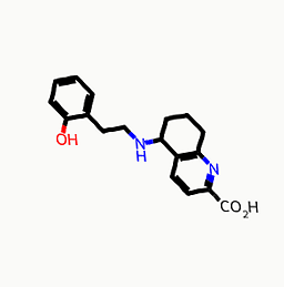 O=C(O)c1ccc2c(n1)CCCC2NCCc1ccccc1O